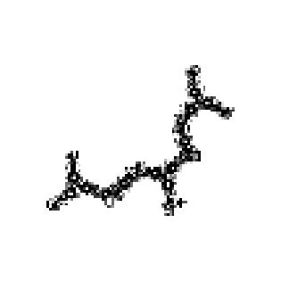 O=C(OCOC(CCl)COc1ccc(C(c2ccc(OCC3CO3)cc2)c2ccc(OCC3CO3)cc2)cc1)c1ccc(C(=O)OC(CCl)COc2ccc(C(c3ccc(OCC(O)CCl)cc3)c3ccc(OCC(CCl)OC(=O)c4ccc(C(=O)OC(CCl)COc5ccc(C(c6ccc(OCC7CO7)cc6)c6ccc(OCC7CO7)cc6)cc5)cc4)cc3)cc2)cc1